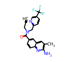 C#CCN(Cc1ccc(C(F)(F)F)cn1)C(=O)c1ccc2nc(N)c(C)cc2c1